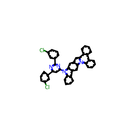 Clc1cccc(-c2cc(-n3c4ccccc4c4cc5c(cc43)cc3c4ccccc4c4ccccc4n53)nc(-c3cccc(Cl)c3)n2)c1